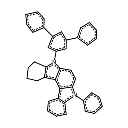 c1ccc(-c2cc(-c3ccccc3)cc(-n3c4c(c5c6c7ccccc7n(-c7ccccc7)c6ccc53)CCCC4)c2)cc1